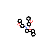 c1ccc2c(c1)ccc1oc3c(N(c4ccc5oc6ccccc6c5c4)c4ccc5oc6ccccc6c5c4)cccc3c12